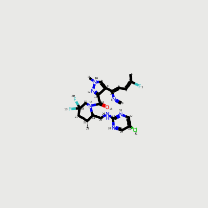 C=N/C(=C\C=C(/C)F)c1cn(C)nc1C(=O)N1CC(F)(F)C[C@@H](C)C1CNc1ncc(Cl)cn1